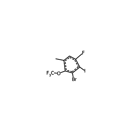 Cc1cc(F)c(I)c(Br)c1OC(F)(F)F